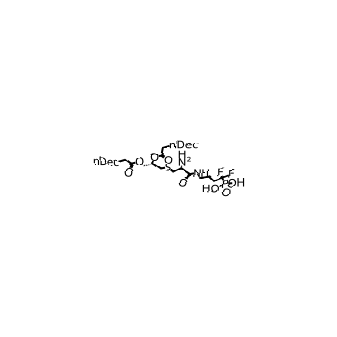 CCCCCCCCCCCC(=O)OC[C@@H](CSC[C@H](N)C(=O)NCCCC(F)(F)P(=O)(O)O)OC(=O)CCCCCCCCCCC